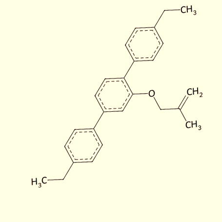 C=C(C)COc1cc(-c2ccc(CC)cc2)ccc1-c1ccc(CC)cc1